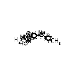 Cc1ccc(-c2cc(-c3ccc(S(=O)(=O)N[C@H](C)C(=O)O)cc3)no2)cc1